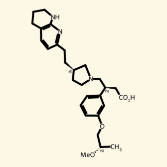 CO[C@@H](C)COc1cccc([C@H](CC(=O)O)CN2CC[C@@H](CCc3ccc4c(n3)NCCC4)C2)c1